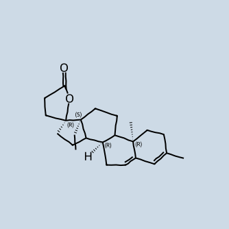 CC[C@]12CCC3[C@@H](CC=C4C=C(C)CC[C@@]43C)C1CC[C@@]21CCC(=O)O1